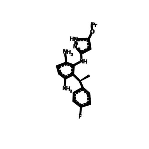 CC(C)Oc1cc(Nc2c(N)ccc(N)c2[C@@H](C)c2ccc(F)cc2)n[nH]1